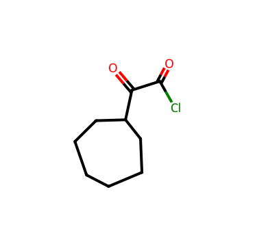 O=C(Cl)C(=O)C1CCCCCC1